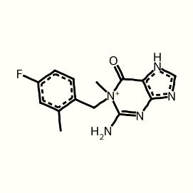 Cc1cc(F)ccc1C[N+]1(C)C(=O)c2[nH]cnc2N=C1N